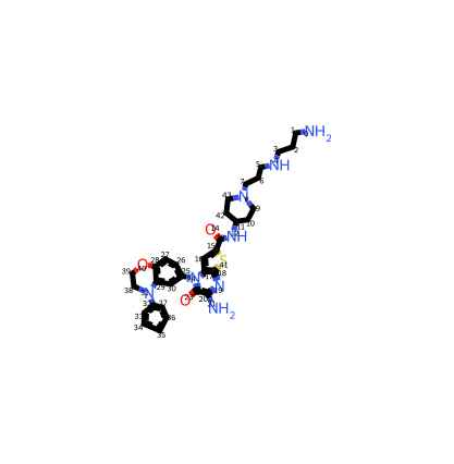 NCCCNCCCN1CCC(NC(=O)c2cc3c(nc(N)c(=O)n3-c3ccc4c(c3)N(c3ccccc3)CCO4)s2)CC1